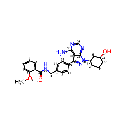 COc1ccccc1C(=O)NCc1ccc(-c2nn(C3CCCC(O)C3)c3ncnc(N)c23)cc1